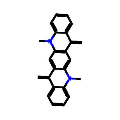 C=C1c2ccccc2N(C)c2cc3c(cc21)N(C)c1ccccc1C3=C